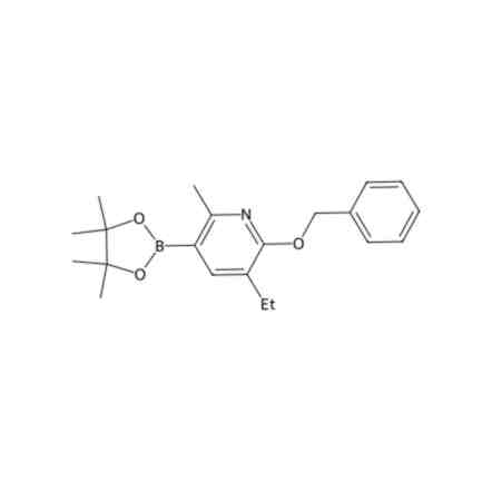 CCc1cc(B2OC(C)(C)C(C)(C)O2)c(C)nc1OCc1ccccc1